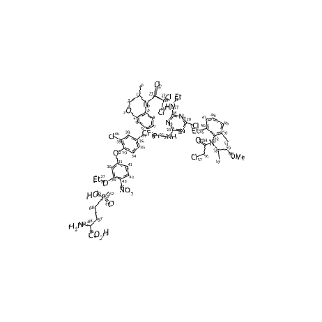 CC1COc2ccccc2N1C(=O)C(Cl)Cl.CCNc1nc(Cl)nc(NC(C)C)n1.CCOc1cc(Oc2ccc(C(F)(F)F)cc2Cl)ccc1[N+](=O)[O-].CCc1cccc(C)c1N(C(=O)CCl)C(C)COC.CP(=O)(O)CCC(N)C(=O)O